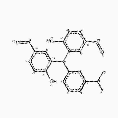 CC(C)c1cccc(C(c2cc(C=O)ccc2O)c2cc(C=O)ccc2O)c1